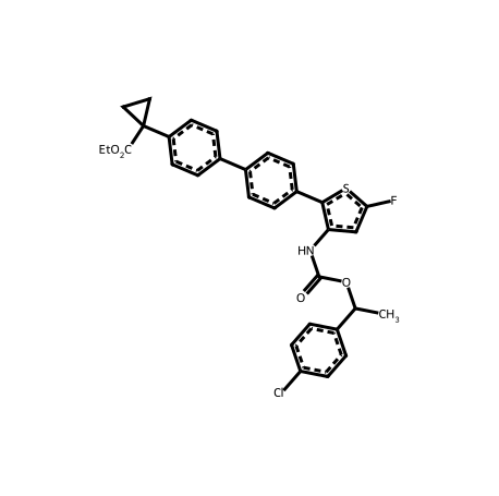 CCOC(=O)C1(c2ccc(-c3ccc(-c4sc(F)cc4NC(=O)OC(C)c4ccc(Cl)cc4)cc3)cc2)CC1